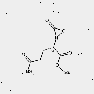 CC(C)(C)OC(=O)[C@H](CCC(N)=O)N1OC1=O